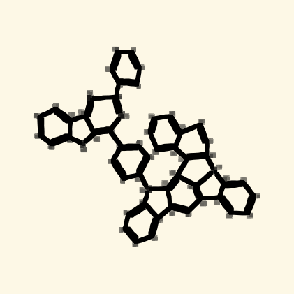 c1ccc(-c2nc(-c3ccc(-n4c5ccccc5c5cc6c7ccccc7n7c8ccc9ccccc9c8c(c54)c67)cc3)c3sc4ccccc4c3n2)cc1